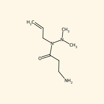 C=CCN(C(=O)CCN)N(C)C